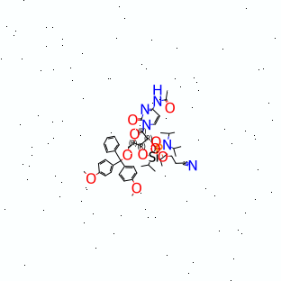 COc1ccc(C(OC[C@H]2O[C@@H](n3ccc(NC(C)=O)nc3=O)[C@H](OP(=O)(OCCC#N)N(C(C)C)C(C)C)[C@@H]2O[Si](C(C)C)(C(C)C)C(C)C)(c2ccccc2)c2ccc(OC)cc2)cc1